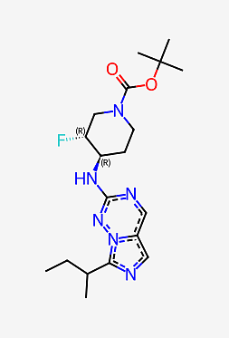 CCC(C)c1ncc2cnc(N[C@@H]3CCN(C(=O)OC(C)(C)C)C[C@H]3F)nn12